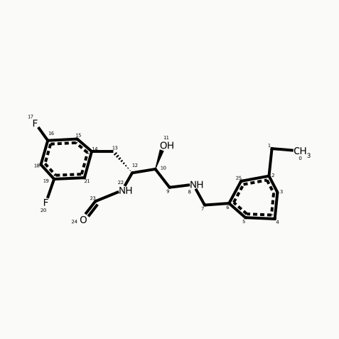 CCc1cccc(CNC[C@H](O)[C@@H](Cc2cc(F)cc(F)c2)NC=O)c1